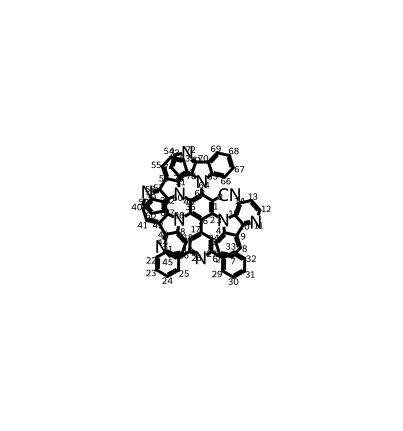 N#Cc1c(-n2c3ccccc3c3ncccc32)c(-c2cc(-c3ccccc3)nc(-c3ccccc3)c2)c(-n2c3ccccc3c3ncccc32)c(-n2c3ccccc3c3ncccc32)c1-n1c2ccccc2c2ncccc21